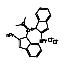 CCCC1=Cc2ccccc2[CH]1[Zr+2]([CH]1C(CCC)=Cc2ccccc21)=[Si](C)C.[Cl-].[Cl-]